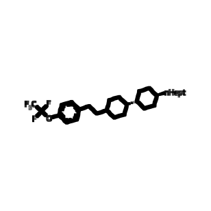 CCCCCCC[C@H]1CC[C@H](C2CCC(CCc3ccc(OC(F)(F)C(F)(F)F)cc3)CC2)CC1